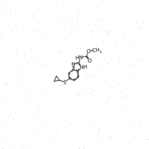 COC(=O)Nc1nc2cc(SC3CC3)ccc2[nH]1